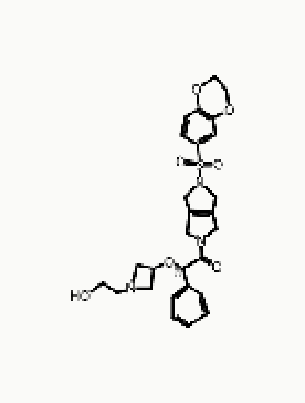 O=C([C@H](OC1CN(CCO)C1)c1ccccc1)N1CC2=C(C1)CN(S(=O)(=O)c1ccc3c(c1)OCCO3)C2